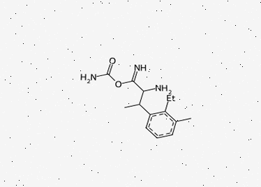 CCc1c(C)cccc1C(C)C(N)C(=N)OC(N)=O